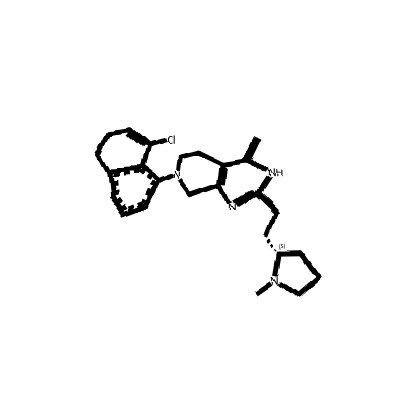 C=C1NC(CC[C@@H]2CCCN2C)=NC2=C1CCN(c1cccc3c1C(Cl)=CCC3)C2